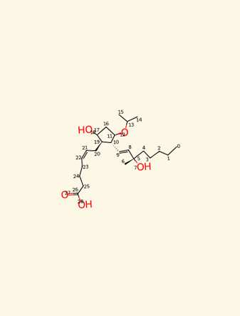 CCCCC[C@](C)(O)/C=C/[C@H]1[C@H](OC(C)C)CC(O)[C@@H]1C/C=C\CCCC(=O)O